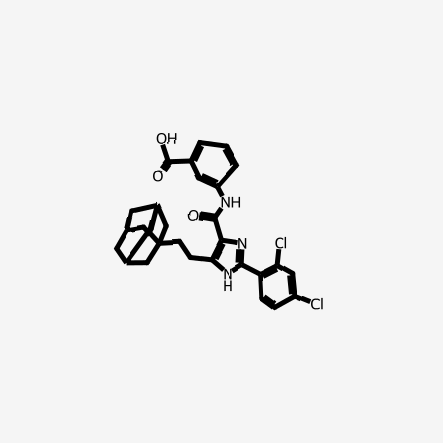 O=C(O)c1cccc(NC(=O)c2nc(-c3ccc(Cl)cc3Cl)[nH]c2CCC23CC4CC(CC(C4)C2)C3)c1